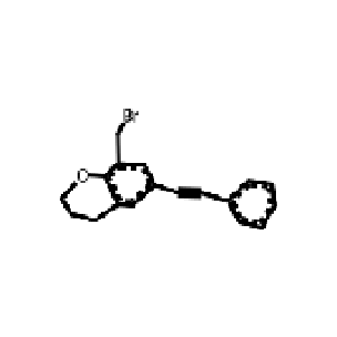 BrCc1cc(C#Cc2ccccc2)cc2c1OCCC2